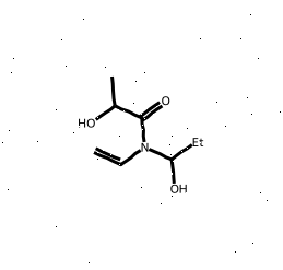 C=CN(C(=O)C(C)O)C(O)CC